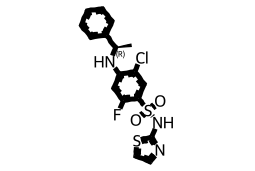 C[C@@H](Nc1cc(F)c(S(=O)(=O)Nc2nccs2)cc1Cl)c1ccccc1